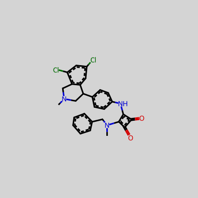 CN1Cc2c(Cl)cc(Cl)cc2C(c2ccc(Nc3c(N(C)Cc4ccccc4)c(=O)c3=O)cc2)C1